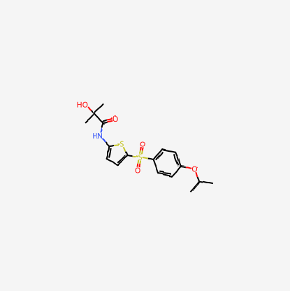 CC(C)Oc1ccc(S(=O)(=O)c2ccc(NC(=O)C(C)(C)O)s2)cc1